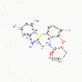 CCOC(=O)CC1Oc2c(F)cccc2N(Cc2nc3cc(F)cc(F)c3s2)C1=O